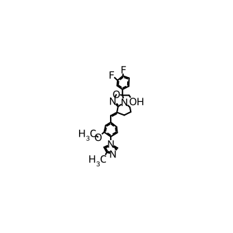 COc1cc(C=C2CCCN3C2=NOC3(CO)c2ccc(F)c(F)c2)ccc1-n1cnc(C)c1